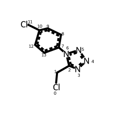 ClCc1nnnn1-c1ccc(Cl)cc1